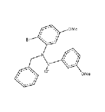 COc1cccc([S+]([O-])N(Cc2ccccc2)c2cc(OC)ccc2Br)c1